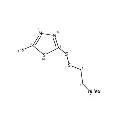 CCCCCCCCSSc1nnc([S])s1